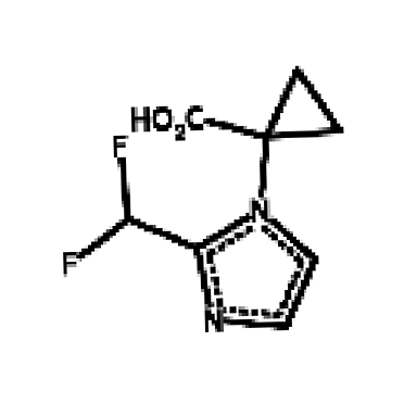 O=C(O)C1(n2ccnc2C(F)F)CC1